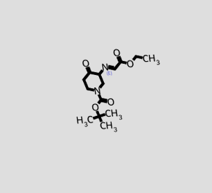 CCOC(=O)/C=N/C1CN(C(=O)OC(C)(C)C)CCC1=O